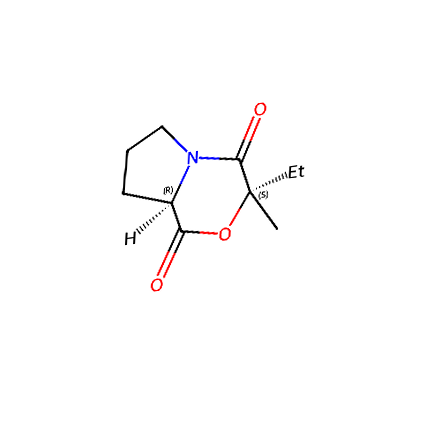 CC[C@]1(C)OC(=O)[C@H]2CCCN2C1=O